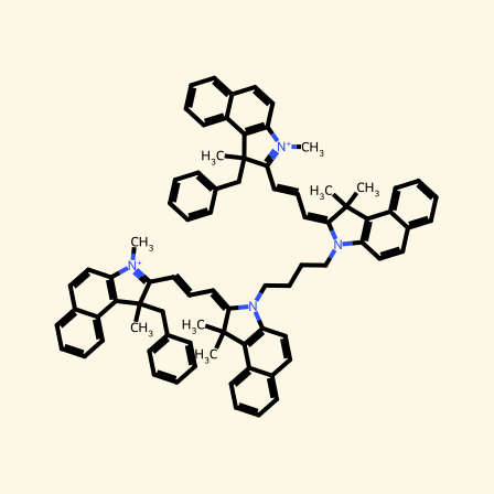 C[N+]1=C(/C=C/C=C2/N(CCCCN3/C(=C/C=C/C4=[N+](C)c5ccc6ccccc6c5C4(C)Cc4ccccc4)C(C)(C)c4c3ccc3ccccc43)c3ccc4ccccc4c3C2(C)C)C(C)(Cc2ccccc2)c2c1ccc1ccccc21